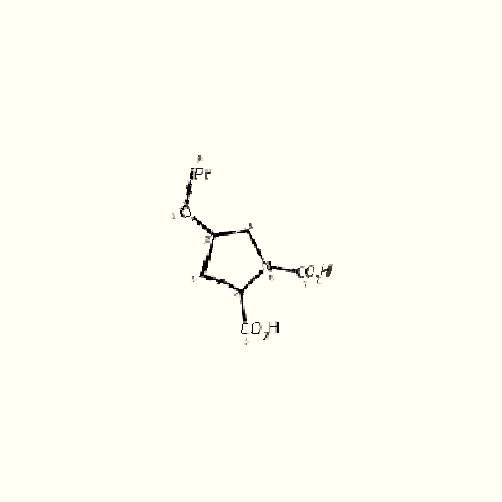 CC(C)OC1CC(C(=O)O)N(C(=O)O)C1